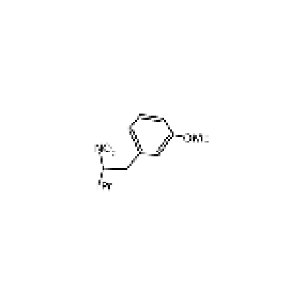 CCCC(Cc1cccc(OC)c1)[N+](=O)[O-]